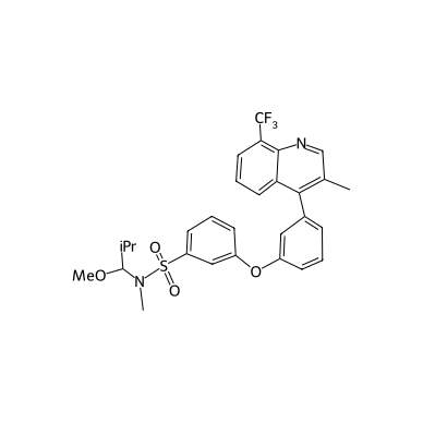 COC(C(C)C)N(C)S(=O)(=O)c1cccc(Oc2cccc(-c3c(C)cnc4c(C(F)(F)F)cccc34)c2)c1